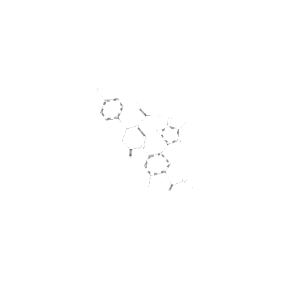 Cc1nc(-c2cc(C(N)=O)c(C)cc2N2C=C(C(=O)O)[C@H](c3ccc(F)cc3)CC2=O)n[nH]1